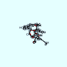 CC[C@H](CC(C)C)C(=O)N[C@H]1C(=O)C[C@@H](CC(=O)NC(=O)Nc2ccc(OC)cc2)C(=O)N[C@H]2C(=O)C[C@H]3C(=O)N[C@H](C(=O)N[C@H](C(=O)CC4C5CC6CC(C5)CC4C6)c4cc(O)c(CNCCCCCCNC(C)=O)c(O)c4-c4cc3ccc4O)[C@H](O)c3ccc(c(Cl)c3)Oc3cc2cc(c3O[C@@H]2O[C@H](CO)[C@@H](O)[C@H](O)[C@H]2O[C@H]2C[C@](C)(N)[C@H](O)[C@H](C)O2)Oc2ccc(cc2Cl)[C@H]1O